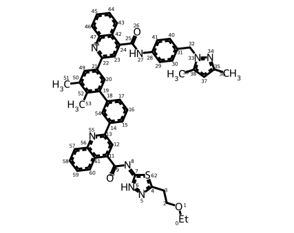 CCOCCc1n[nH]/c(=N\C(=O)c2cc(-c3cccc(-c4cc(-c5cc(C(=O)Nc6ccc(Cn7nc(C)cc7C)cc6)c6ccccc6n5)cc(C)c4C)c3)nc3ccccc23)s1